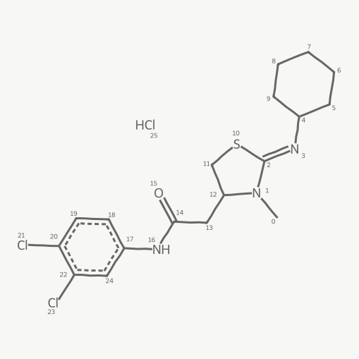 CN1C(=NC2CCCCC2)SCC1CC(=O)Nc1ccc(Cl)c(Cl)c1.Cl